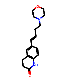 O=C1CCc2cc(C=CCCN3CCOCC3)ccc2N1